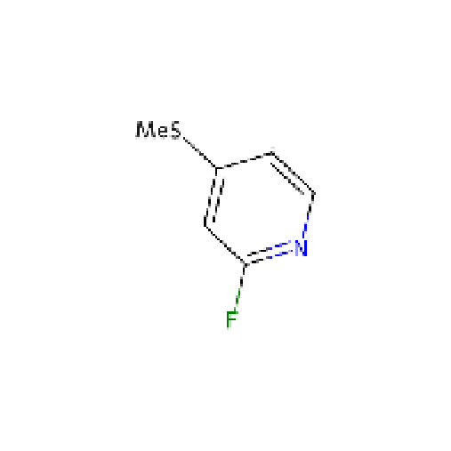 CSc1[c]cnc(F)c1